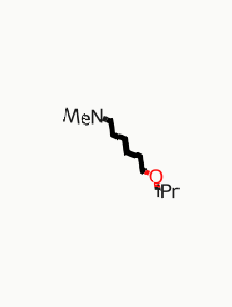 CNCCCCCCOC(C)C